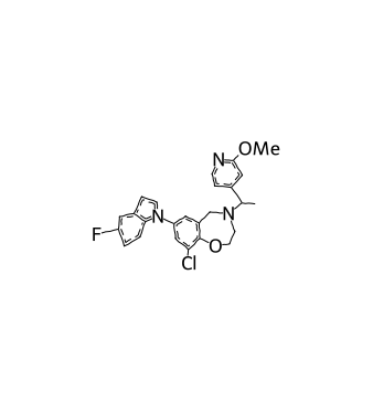 COc1cc(C(C)N2CCOc3c(Cl)cc(-n4ccc5cc(F)ccc54)cc3C2)ccn1